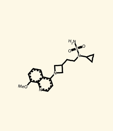 COc1cccc2c(N3CC(CCN(C4CC4)S(N)(=O)=O)C3)ccnc12